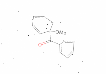 COC1(C(=O)c2ccccc2)C=CC=CC1